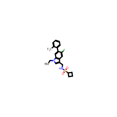 CC(C)(C)Cn1cc(CNS(=O)(=O)C2CCC2)c2cc(F)c(-c3ccccc3C(F)(F)F)cc21